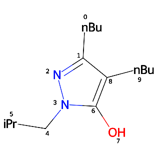 CCCCc1nn(CC(C)C)c(O)c1CCCC